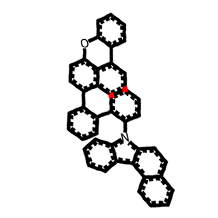 c1ccc2c(c1)Oc1ccc(-c3ccccc3-c3ccccc3-n3c4ccccc4c4c5ccccc5ccc43)c3cccc-2c13